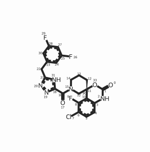 O=C1Nc2ccc(Cl)c(F)c2[C@@]2(CCCN(C(=O)c3nnc(Cc4cc(F)cc(F)c4)[nH]3)C2)O1